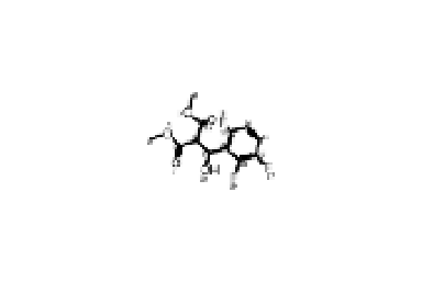 COC(=O)C(C(=O)OC)C(O)c1c(F)ccc(F)c1F